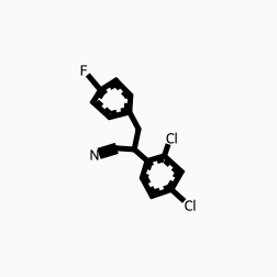 N#CC(Cc1ccc(F)cc1)c1ccc(Cl)cc1Cl